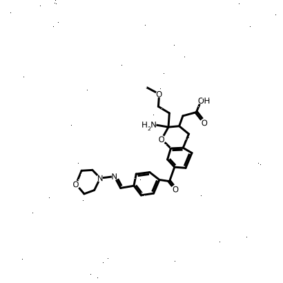 COCCC1(N)Oc2cc(C(=O)c3ccc(C=NN4CCOCC4)cc3)ccc2CC1CC(=O)O